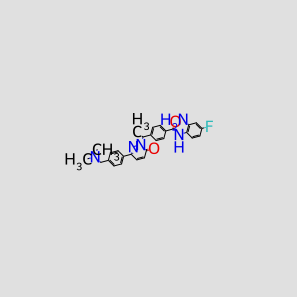 CC(c1ccc(C(=O)Nc2ccc(F)cc2N)cc1)n1nc(-c2ccc(CN(C)C)cc2)ccc1=O